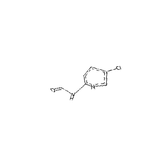 O=CNc1ccc(Cl)cn1